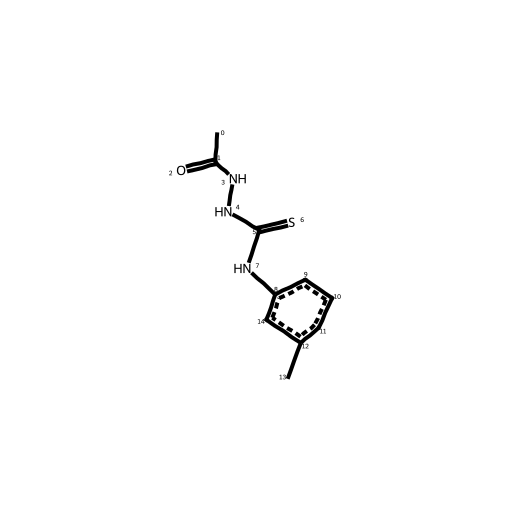 CC(=O)NNC(=S)Nc1cccc(C)c1